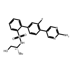 CC(C)(C)[C@H](CO)NS(=O)(=O)c1ccccc1-c1ccc(-c2cnc(N)nc2)c(F)c1